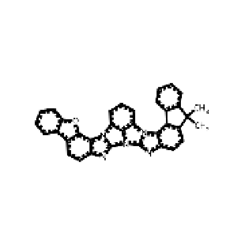 CC1(C)c2ccccc2-c2c1ccc1nc3n(c4cccc5c4n3c3nc4ccc6c7ccccc7oc6c4n53)c21